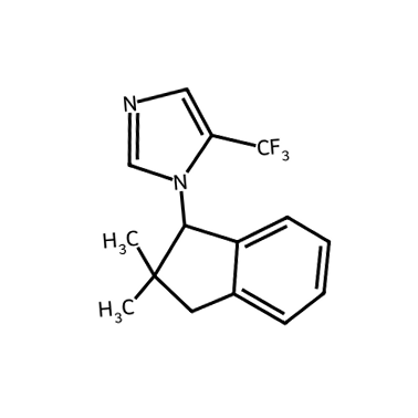 CC1(C)Cc2ccccc2C1n1cncc1C(F)(F)F